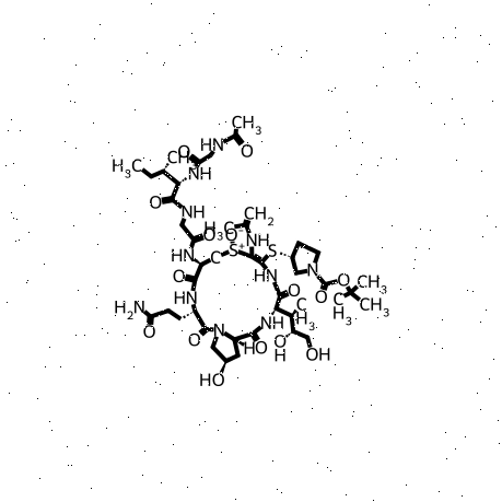 C=C(C)N/C1=C(\S[C@@H]2CCN(C(=O)OC(C)(C)C)C2)NC(=O)[C@H]([C@@H](C)[C@@H](O)CO)NC(=O)[C@@H]2C[C@@H](O)CN2C(=O)[C@H](CCC(N)=O)NC(=O)[C@@H](NC(=O)CNC(=O)[C@@H](NC(=O)CNC(C)=O)[C@@H](C)CC)C[S+]1[O-]